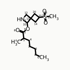 CCCCCC(C)C(=O)OC1NCC12CC(S(C)(=O)=O)C2